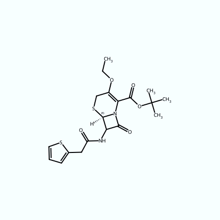 CCOC1=C(C(=O)OC(C)(C)C)N2C(=O)C(NC(=O)Cc3cccs3)[C@H]2SC1